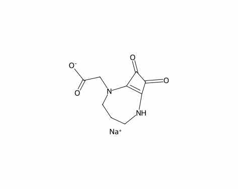 O=C([O-])CN1CCCNc2c1c(=O)c2=O.[Na+]